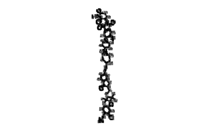 CC1(C)[C@H](CCC2Cc3cc(C#CC4CCN(C5CCN(c6cc7c(cc6F)C(=O)N(C6CCC(=O)NC6=O)C7=O)CC5)CC4)ccc3C2=O)C(C)(C)[C@H]1Oc1ccc(C#N)c(Cl)c1